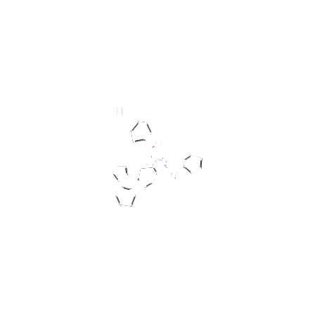 Cc1ccc(S(=O)(=O)n2nc(Nc3ccccc3)c3c2CC(c2ccccc2)(c2ccsc2)C=C3)cc1